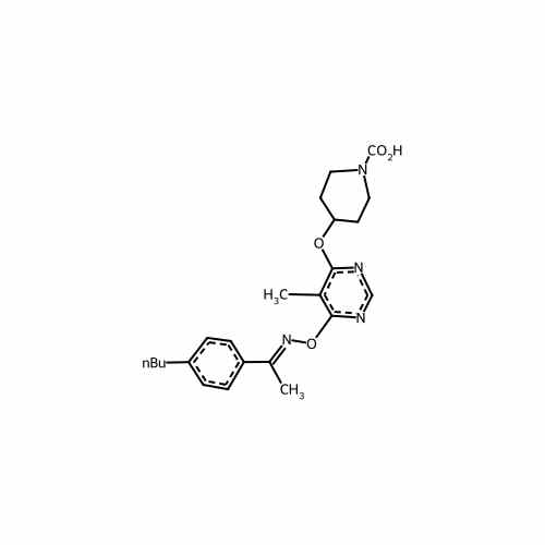 CCCCc1ccc(C(C)=NOc2ncnc(OC3CCN(C(=O)O)CC3)c2C)cc1